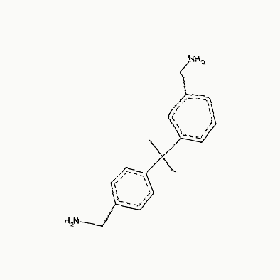 CC(C)(c1ccc(CN)cc1)c1cccc(CN)c1